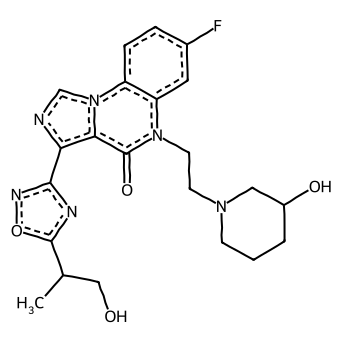 CC(CO)c1nc(-c2ncn3c2c(=O)n(CCN2CCCC(O)C2)c2cc(F)ccc23)no1